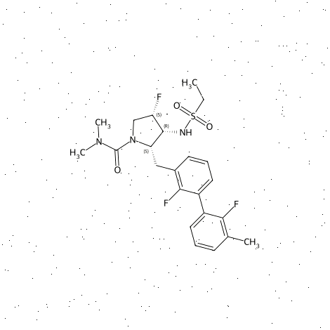 CCS(=O)(=O)N[C@H]1[C@@H](F)CN(C(=O)N(C)C)[C@H]1Cc1cccc(-c2cccc(C)c2F)c1F